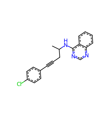 CC(CC#Cc1ccc(Cl)cc1)Nc1ncnc2ccccc12